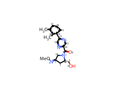 CO/N=C1/C[C@@H](CO)N(C(=O)c2cnc(-c3cccc(C)c3C)cn2)C1